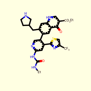 CCNC(=O)Nc1cc(-c2nc(C(F)(F)F)cs2)c(-c2cc3c(=O)c(C(=O)OCC)c[nH]c3cc2CC2CCNC2)cn1